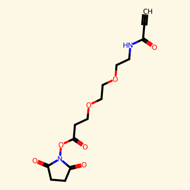 C#CC(=O)NCCOCCOCCC(=O)ON1C(=O)CCC1=O